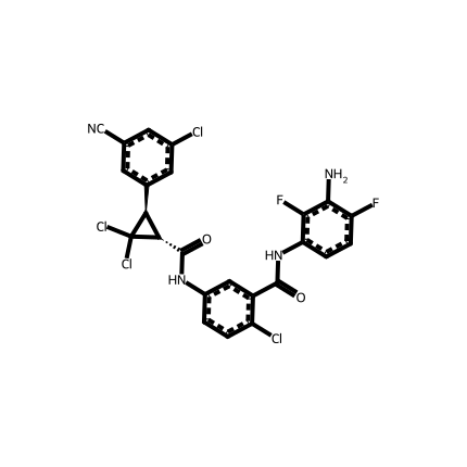 N#Cc1cc(Cl)cc([C@H]2[C@H](C(=O)Nc3ccc(Cl)c(C(=O)Nc4ccc(F)c(N)c4F)c3)C2(Cl)Cl)c1